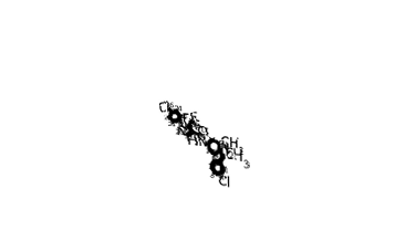 CN(C)C1(Cc2cccc(Cl)c2)CCC(NC(=O)c2cnn(-c3ccc(Cl)cc3)c2C(F)(F)F)CC1